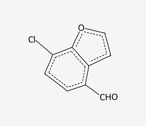 O=Cc1ccc(Cl)c2occc12